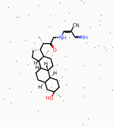 C[C@H](C(=O)CN/C=C(/C#N)C=N)[C@H]1CC[C@H]2[C@@H]3CC[C@@H]4C[C@](C)(O)CC[C@@H]4[C@H]3CC[C@]12C